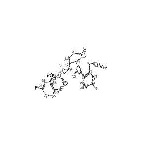 COCc1nc(C)ncc1OC[C@@]1(C2C=CC(F)=CC2)C[C@H]1C(=O)Nc1cc(F)ccc1F